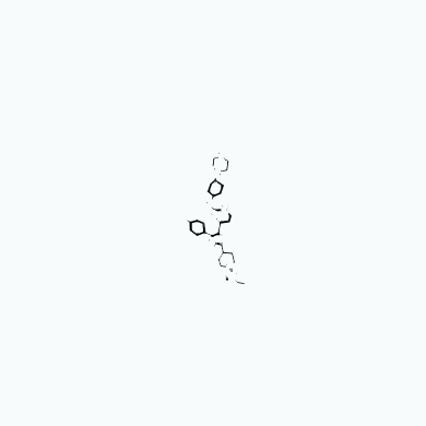 CCS(=O)(=O)N1CCC(c2nc(-c3ccc(F)cc3)c(-c3ccnc(Nc4ccc(N5CCNCC5)cc4)n3)s2)CC1